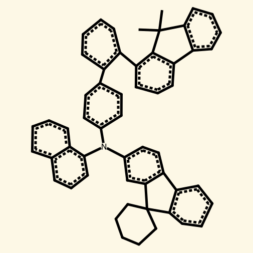 CC1(C)c2ccccc2-c2cccc(-c3ccccc3-c3ccc(N(c4ccc5c(c4)C4(CCCCC4)c4ccccc4-5)c4cccc5ccccc45)cc3)c21